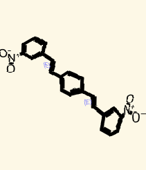 O=[N+]([O-])c1cccc(/C=C/c2ccc(/C=C/c3cccc([N+](=O)[O-])c3)cc2)c1